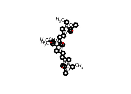 Cc1cccc(N(c2cccc3c2oc2ccccc23)c2cccc3c4c5ccc6c(c5ccc4n(-c4ccccc4)c23)c2cccc(C(c3ccc(C(C)(C)C)cc3)c3cccc4c5c7ccc8c(c7ccc5n(-c5ccccc5)c34)c3cccc(N(c4cccc(C)c4)c4cccc5c4oc4ccccc45)c3n8-c3ccccc3)c2n6-c2ccccc2)c1